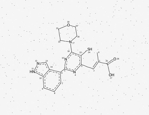 C/C(=C\c1nc(-c2cccc3[nH]ncc23)nc(N2CCOCC2)c1S)C(=O)O